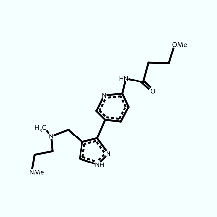 CNCCN(C)Cc1c[nH]nc1-c1ccc(NC(=O)CCOC)nc1